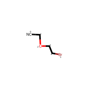 N#CCOCCBr